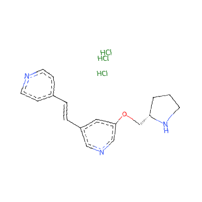 C(=Cc1cncc(OC[C@@H]2CCCN2)c1)c1ccncc1.Cl.Cl.Cl